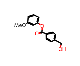 COc1cccc(OC(=O)c2ccc(CO)cc2)c1